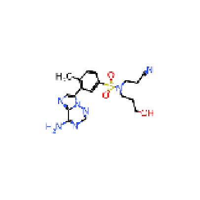 Cc1ccc(S(=O)(=O)N(CCC#N)CCCO)cc1-c1cnc2c(N)ncnn12